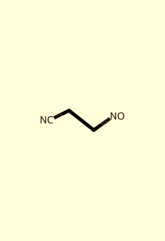 N#CCCN=O